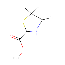 CC(C)(C)OC(=O)C1NC(C(=O)O)C(C)(C)S1